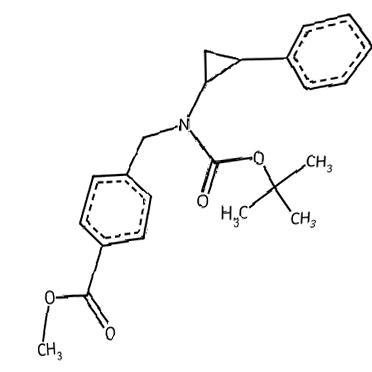 COC(=O)c1ccc(CN(C(=O)OC(C)(C)C)C2CC2c2ccccc2)cc1